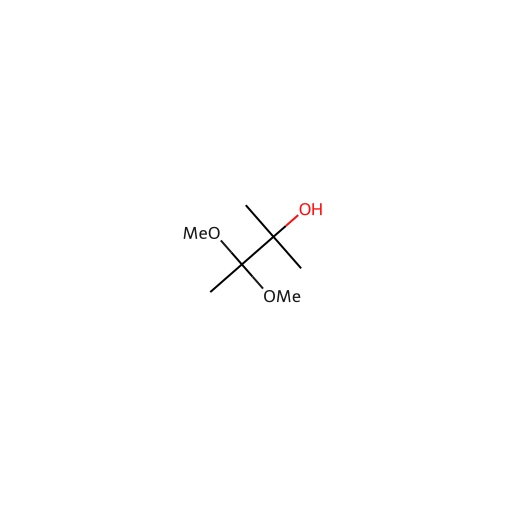 COC(C)(OC)C(C)(C)O